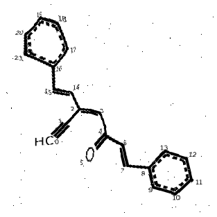 C#CC(=C\C(=O)/C=C/c1ccccc1)/C=C/c1ccccc1